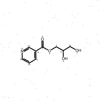 O=C(OCC(O)CO)c1cccnc1